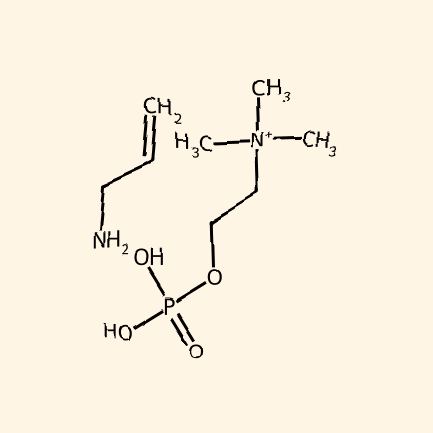 C=CCN.C[N+](C)(C)CCOP(=O)(O)O